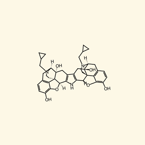 Oc1ccc2c3c1O[C@@H]1c4[nH]c5c(c4C[C@]4(O)[C@H](C2)N(CC2CC2)CC[C@@]314)C[C@]1(O)[C@@H]2Cc3ccc(O)c4c3[C@]1(CCN2CC1CC1)[C@@H]5O4